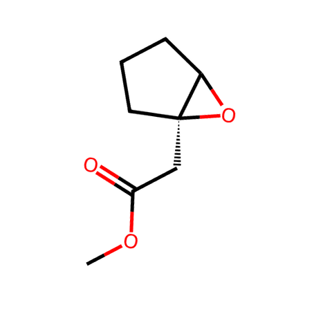 COC(=O)C[C@]12CCCC1O2